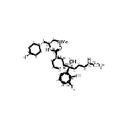 CNC[C@H](C[C@H]1CC[C@H](F)CC1)NC(=O)N1CCC[C@@H]([C@@](O)(CCCNC(=O)O)c2cccc(F)c2F)C1